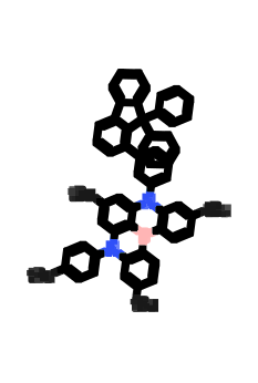 CC(C)(C)c1ccc(N2c3cc(C(C)(C)C)ccc3B3c4ccc(C(C)(C)C)cc4N(c4cccc(-c5cccc6c5C(c5ccccc5)(c5ccccc5)c5ccccc5-6)c4)c4cc(C(C)(C)C)cc2c43)cc1